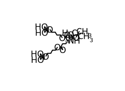 CC(C)(C)OC(=O)N[C@@H](CCC(=O)OCCCCON(O)O)C(=O)OCCCCON(O)O